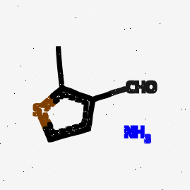 Cc1sccc1C=O.N